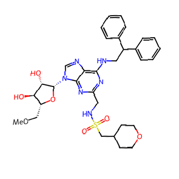 COC[C@H]1O[C@@H](n2cnc3c(NCC(c4ccccc4)c4ccccc4)nc(CNS(=O)(=O)CC4CCOCC4)nc32)[C@@H](O)[C@@H]1O